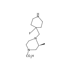 C[C@H]1CN(C(=O)O)CCN1CC1(F)CCNCC1